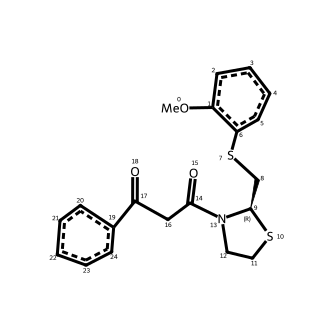 COc1ccccc1SC[C@H]1SCCN1C(=O)CC(=O)c1ccccc1